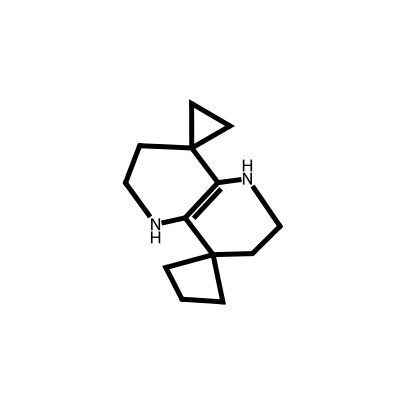 C1CC2(C1)CCNC1=C2NCCC12CC2